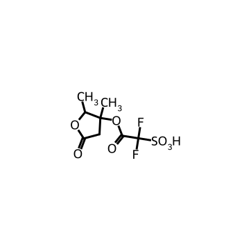 CC1OC(=O)CC1(C)OC(=O)C(F)(F)S(=O)(=O)O